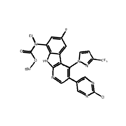 CCN(C(=O)OC(C)(C)C)c1cc(F)cc2c1[nH]c1ncc(-c3cnc(Cl)nc3)c(-n3ccc(C(F)(F)F)n3)c12